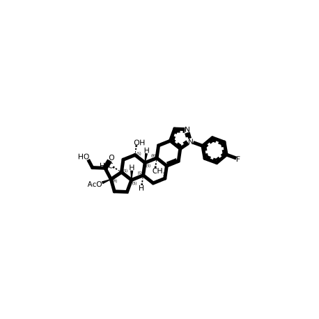 CC(=O)O[C@]1(C(=O)CO)CC[C@H]2[C@@H]3CCC4=Cc5c(cnn5-c5ccc(F)cc5)C[C@]4(C)[C@H]3[C@@H](O)C[C@@]21C